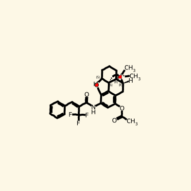 CC(=O)Oc1cc(NC(=O)C(=Cc2ccccc2)C(F)(F)F)c2c3c1C[C@@H]1[C@@H]4CCC[C@H](O2)[C@]34CC[N+]1(C)C